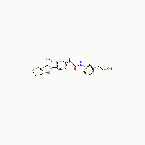 NC1c2ccccc2SN1c1ccc(NC(=O)Nc2cccc(CCO)c2)cc1